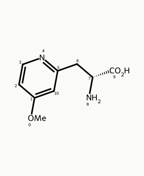 COc1ccnc(C[C@@H](N)C(=O)O)c1